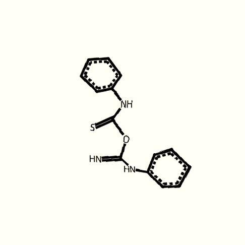 N=C(Nc1ccccc1)OC(=S)Nc1ccccc1